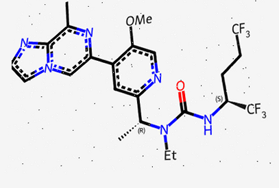 CCN(C(=O)N[C@@H](CCC(F)(F)F)C(F)(F)F)[C@H](C)c1cc(-c2cn3ccnc3c(C)n2)c(OC)cn1